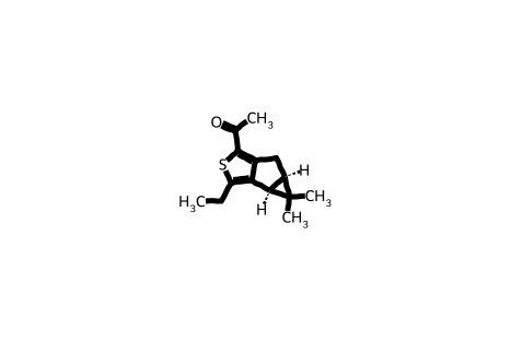 CCc1sc(C(C)=O)c2c1[C@H]1[C@@H](C2)C1(C)C